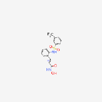 O=C(/C=C/c1ccccc1NS(=O)(=O)c1cccc(C(F)(F)F)c1)NO